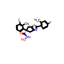 Cc1cc(F)ccc1-c1nc2c(s1)C[C@](C(=O)NO)(c1cccc(F)c1C)C2